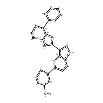 COc1cncc(-c2ccc3[nH]nc(-c4nc5c(-c6ccccn6)cccc5[nH]4)c3n2)c1